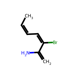 C=C(N)/C(Br)=C\C=C/C